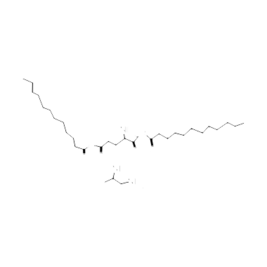 CC(N)CN.CCCCCCCCCCCC(=O)OC(=O)CCC(N)C(=O)OC(=O)CCCCCCCCCCC